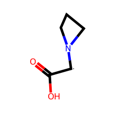 O=C(O)[CH]N1CCC1